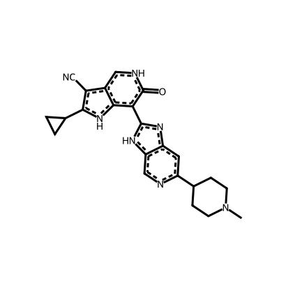 CN1CCC(c2cc3nc(-c4c(=O)[nH]cc5c(C#N)c(C6CC6)[nH]c45)[nH]c3cn2)CC1